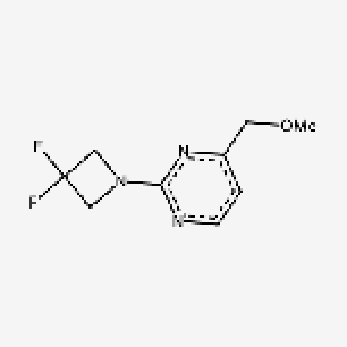 COCc1ccnc(N2CC(F)(F)C2)n1